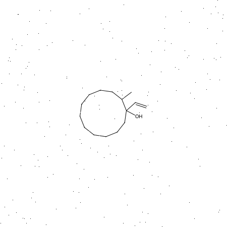 C=CC1(O)CCCCCCCCCCC1C